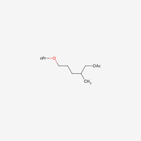 CCCOCCCC(C)COC(C)=O